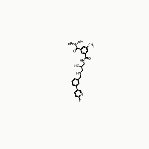 CCCN(CCC)C(=O)c1cc(C)cc(C(=O)NC[C@H](O)CNCc2cccc(-c3ccc(F)nc3)c2)c1